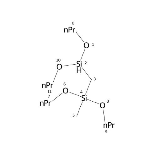 CCCO[SiH](C[Si](C)(OCCC)OCCC)OCCC